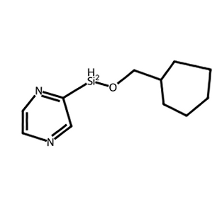 c1cnc([SiH2]OCC2CCCCC2)cn1